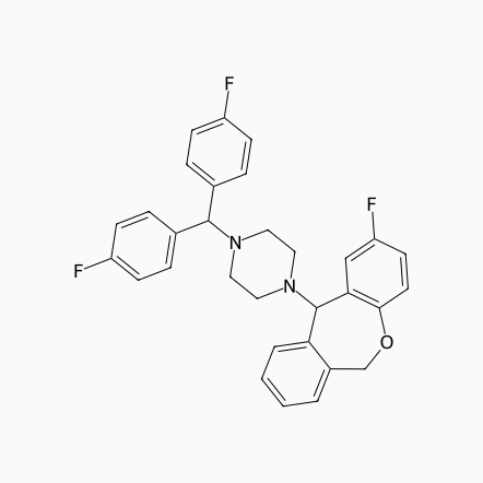 Fc1ccc(C(c2ccc(F)cc2)N2CCN(C3c4ccccc4COc4ccc(F)cc43)CC2)cc1